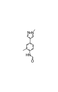 Cc1cc(-c2cnn(C)c2)ccc1NC=O